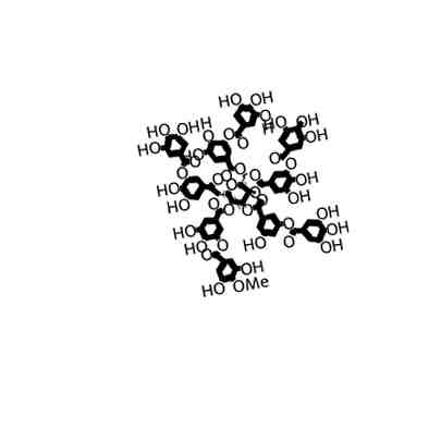 COc1c(O)cc(C(=O)Oc2cc(C(=O)O[C@@H]3[C@@H](OC(=O)c4cc(O)cc(OC(=O)c5cc(O)c(O)c(O)c5)c4)[C@H](OC(=O)c4cc(O)c(O)c(OC(=O)c5cc(O)c(O)c(O)c5)c4)[C@@H](COC(=O)c4cc(O)c(O)c(OC(=O)c5cc(O)c(O)c(O)c5)c4)O[C@H]3CC(=O)c3cc(O)c(O)c(OC(=O)c4cc(O)c(O)c(O)c4)c3)cc(O)c2O)cc1O